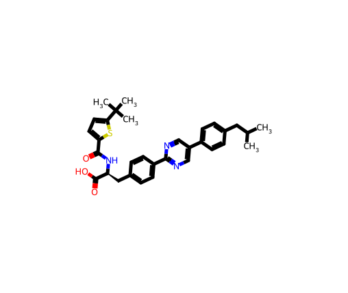 CC(C)Cc1ccc(-c2cnc(-c3ccc(C[C@H](NC(=O)c4ccc(C(C)(C)C)s4)C(=O)O)cc3)nc2)cc1